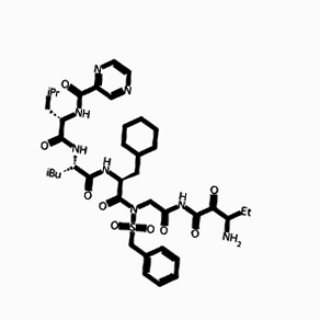 CCC(N)C(=O)C(=O)NC(=O)CN(C(=O)[C@H](CC1CCCCC1)NC(=O)[C@@H](NC(=O)[C@H](CC(C)C)NC(=O)c1cnccn1)[C@@H](C)CC)S(=O)(=O)Cc1ccccc1